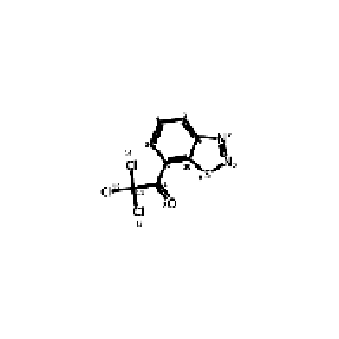 O=C(c1cccc2nnsc12)C(Cl)(Cl)Cl